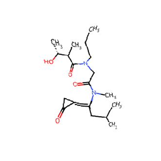 CCCN(CC(=O)N(C)/C(CC(C)C)=C1\CC1=O)C(=O)C(C)[C@@H](C)O